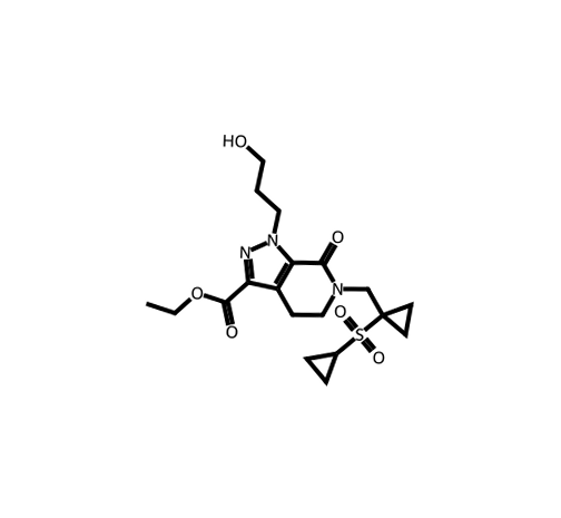 CCOC(=O)c1nn(CCCO)c2c1CCN(CC1(S(=O)(=O)C3CC3)CC1)C2=O